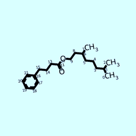 CC(C)CCCC(C)CCOC(=O)CCCc1ccccc1